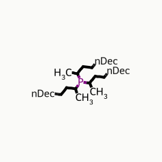 CCCCCCCCCCCCC(C)P(C(C)CCCCCCCCCCCC)C(C)CCCCCCCCCCCC